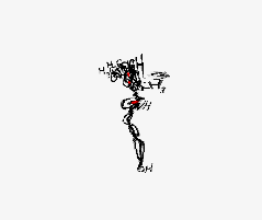 CC(=O)N[C@H]1[C@H](OCCCCC(=O)NCCOCCOCCOCCO)O[C@H](COC(C)=O)[C@H](OC(C)=O)[C@@H]1OC(C)=O